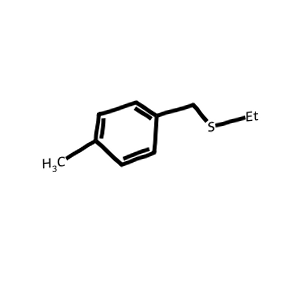 CCSCc1ccc(C)cc1